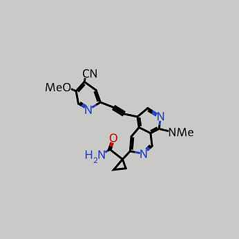 CNc1ncc(C#Cc2cc(C#N)c(OC)cn2)c2cc(C3(C(N)=O)CC3)ncc12